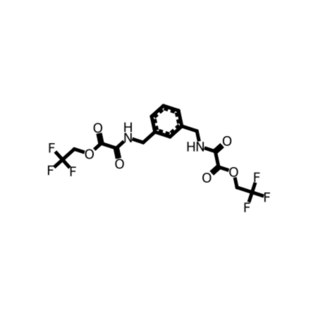 O=C(NCc1cccc(CNC(=O)C(=O)OCC(F)(F)F)c1)C(=O)OCC(F)(F)F